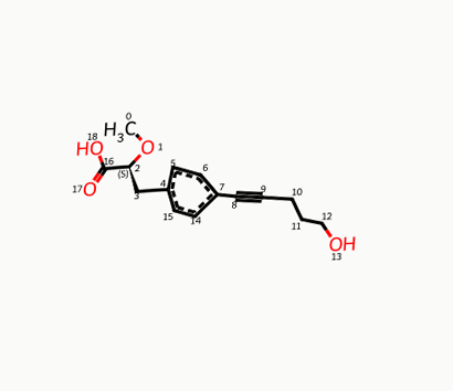 CO[C@@H](Cc1ccc(C#CCCCO)cc1)C(=O)O